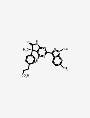 CCCCn1nc(-c2nc(N)c3c(n2)NC(=O)[C@@]3(C)c2ccc(CCC(=O)O)cc2)c2ccc(C)nc21